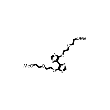 COCCOCCOc1ncsc1-c1scnc1OCCOCCOC